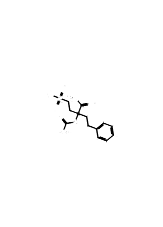 COC(=O)NC(CCc1ccccc1)(CCS(C)(=O)=O)C(=O)OC